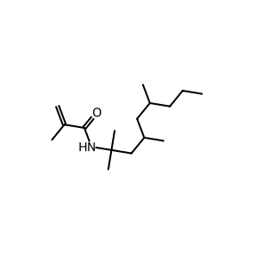 C=C(C)C(=O)NC(C)(C)CC(C)CC(C)CCC